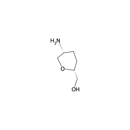 N[C@@H]1CC[C@H](CO)OC1